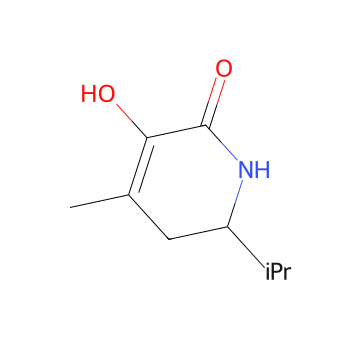 CC1=C(O)C(=O)NC(C(C)C)C1